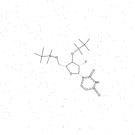 CC(C)(C)[Si](C)(C)OC[C@H]1O[C@@H](n2ccc(=O)[nH]c2=O)[C@@H](F)C1O[Si](C)(C)C(C)(C)C